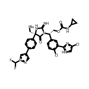 CC(C)(C)C[C@]1(c2ccc(-c3cnn(C(F)F)c3)cc2)NC(=N)N([C@H](COC(=O)NC2CC2)c2ccc(Cl)c(-c3nc(Cl)c[nH]3)c2)C1=O